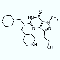 CCCc1nn(C)c2c(=O)[nH]c(N(CC3CCCCC3)CC3CCNCC3)nc12